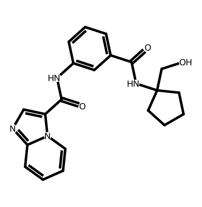 O=C(NC1(CO)CCCC1)c1cccc(NC(=O)c2cnc3ccccn23)c1